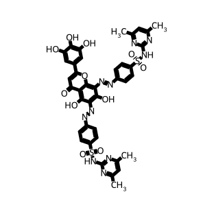 Cc1cc(C)nc(NS(=O)(=O)c2ccc(N=Nc3c(O)c(N=Nc4ccc(S(=O)(=O)Nc5nc(C)cc(C)n5)cc4)c4oc(-c5cc(O)c(O)c(O)c5)cc(=O)c4c3O)cc2)n1